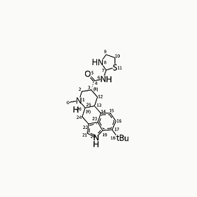 CN1C[C@H](C(=O)NC2NCCS2)CC2c3ccc(C(C)(C)C)c4[nH]cc(c34)C[C@H]21